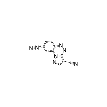 N#Cc1cnn2c1nnc1ccc([N+]#N)cc12